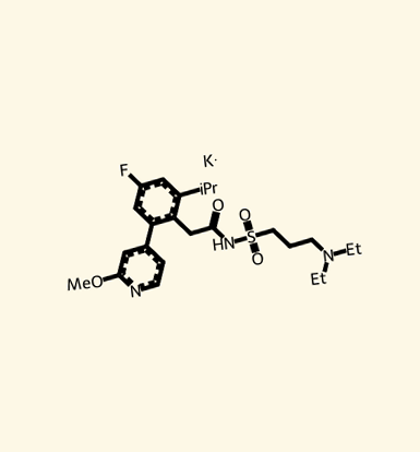 CCN(CC)CCCS(=O)(=O)NC(=O)Cc1c(-c2ccnc(OC)c2)cc(F)cc1C(C)C.[K]